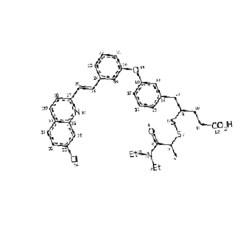 CCN(CC)C(=O)C(C)SSC(CCC(=O)O)Cc1cccc(Oc2cccc(C=Cc3ccc4ccc(Cl)cc4n3)c2)c1